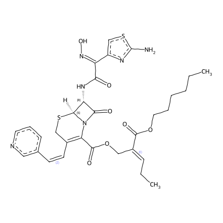 CC/C=C(\COC(=O)C1=C(/C=C\c2cccnc2)CS[C@H]2[C@H](NC(=O)C(=NO)c3csc(N)n3)C(=O)N12)C(=O)OCCCCCC